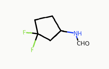 O=CNC1CCC(F)(F)C1